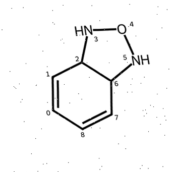 C1=CC2NONC2C=C1